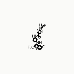 O=C(N[C@@H]1CCC[C@H](Nc2cc(C(F)(F)F)nc3ccc(Cl)cc23)C1)c1cnc(NCCF)nc1